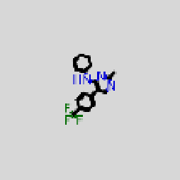 Cc1ncc(-c2ccc(C(F)(F)F)cc2)c(NC2CCCCC2)n1